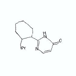 CC(C)C1CCCCC1c1nccc(=O)[nH]1